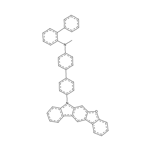 CN(c1ccc(-c2ccc(-n3c4ccccc4c4cc5c(cc43)oc3ccccc35)cc2)cc1)c1ccccc1-c1ccccc1